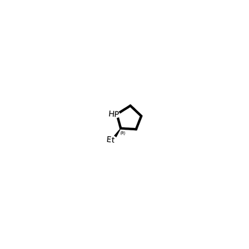 CC[C@@H]1CCCP1